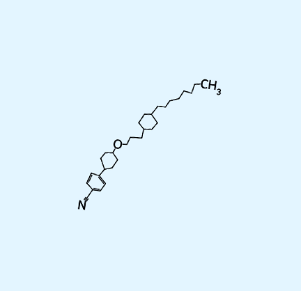 CCCCCCCCC1CCC(CCCOC2CCC(c3ccc(C#N)cc3)CC2)CC1